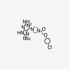 CC(C)(C)c1nc2c(N3CCN(C(=O)COc4ccc(Cl)cc4)CC3)nc(N)nc2[nH]1